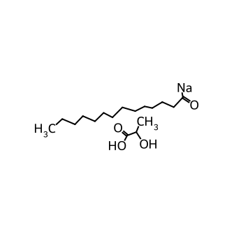 CC(O)C(=O)O.CCCCCCCCCCCCC[C](=O)[Na]